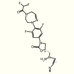 C=N/C=C\N(N)C[C@H]1CN(c2cc(F)c(N3CCN(C(=O)C(F)F)CC=N3)c(F)c2)C(=O)O1